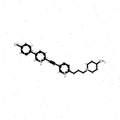 CC1CCN(CCCc2ccc(C#Cc3ccc(-c4ccc(Cl)cc4)cn3)cn2)CC1